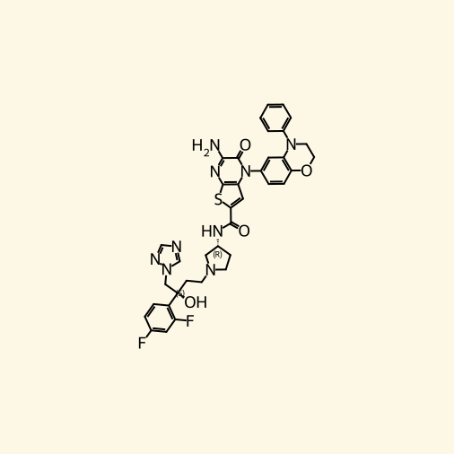 Nc1nc2sc(C(=O)N[C@@H]3CCN(CC[C@@](O)(Cn4cncn4)c4ccc(F)cc4F)C3)cc2n(-c2ccc3c(c2)N(c2ccccc2)CCO3)c1=O